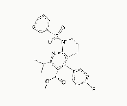 COC(=O)c1c(C(C)C)nc2c(c1-c1ccc(F)cc1)CCCN2S(=O)(=O)c1ccccc1